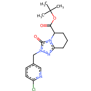 CC(C)(C)OC(=O)C1CCCc2nn(Cc3ccc(Cl)nc3)c(=O)n21